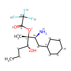 CCC[C@H](O)[C@](C)(OC(=O)C(F)(F)F)[C@@H](N)CC1CCCCC1